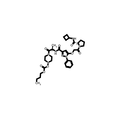 CCCCOC(=O)ON1CCN(C(=O)[C@@H](C)NC(=O)c2cc(OCC(=O)N3CCC[C@H]3C(=O)NC3CCC3)n(-c3ccccc3)n2)CC1